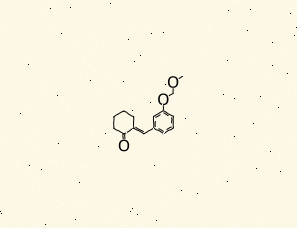 COCOc1cccc(C=C2CCCCC2=O)c1